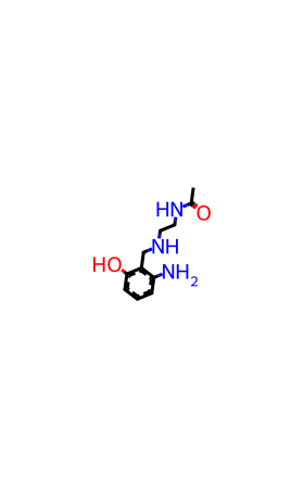 CC(=O)NCCNCc1c(N)cccc1O